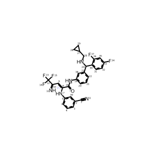 N#Cc1cccc(N/C(=C\C(=N)C(F)(F)F)C(=O)Nc2cccc(C(NCC3CC3)c3ccc(F)cc3F)c2)c1